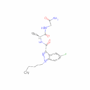 CC(C)(C)[C@H](NC(=O)c1nn(CCCCC#N)c2ccc(F)cc12)C(=O)NCC(N)=O